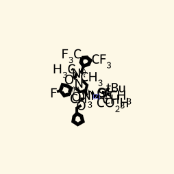 Cc1cc(F)ccc1[C@H]1C[C@](C/C=C(\O[Si](C)(C)C(C)(C)C)C(=O)O)(NC(=O)OCc2ccccc2)CCN1C(=O)N(C)[C@@H](C)c1cc(C(F)(F)F)cc(C(F)(F)F)c1